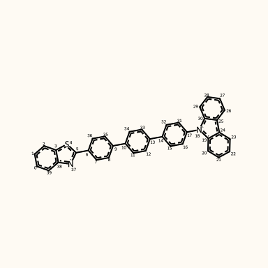 c1ccc2sc(-c3ccc(-c4ccc(-c5ccc(-n6c7ccccc7c7ccccc76)cc5)cc4)cc3)nc2c1